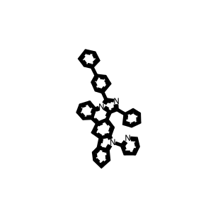 c1ccc(-c2ccc(-c3nc(-c4ccccc4)c4c5cc6c(cc5c5ccccc5n34)c3ccccc3n6-c3ccccn3)cc2)cc1